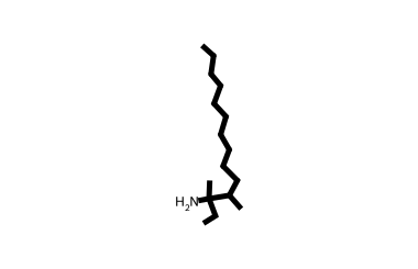 CCCCCCCCCCC(C)C(C)(N)CC